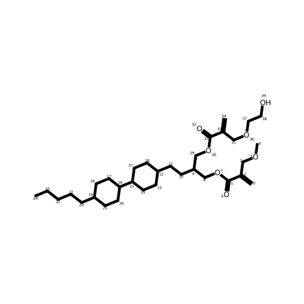 C=C(COC)C(=O)OCC(CCC1CCC(C2CCC(CCCCC)CC2)CC1)COC(=O)C(=C)COCCO